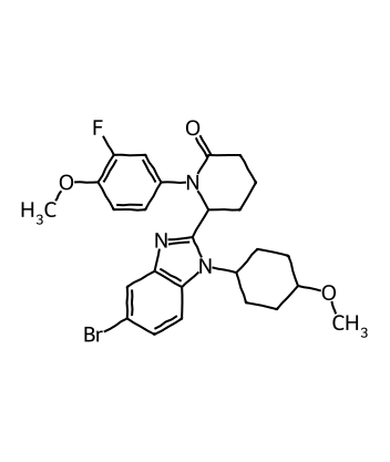 COc1ccc(N2C(=O)CCCC2c2nc3cc(Br)ccc3n2C2CCC(OC)CC2)cc1F